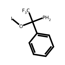 FC(F)(F)C(P)(OI)c1ccccc1